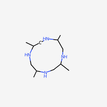 CC1CNC(C)CNC(C)CNC(C)CN1